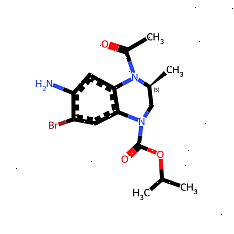 CC(=O)N1c2cc(N)c(Br)cc2N(C(=O)OC(C)C)C[C@@H]1C